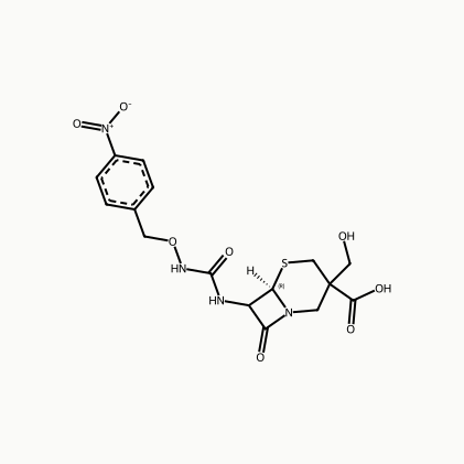 O=C(NOCc1ccc([N+](=O)[O-])cc1)NC1C(=O)N2CC(CO)(C(=O)O)CS[C@H]12